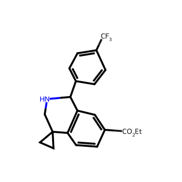 CCOC(=O)c1ccc2c(c1)C(c1ccc(C(F)(F)F)cc1)NCC21CC1